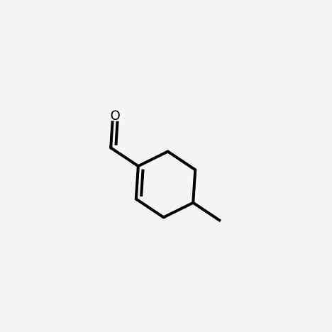 CC1CC=C(C=O)CC1